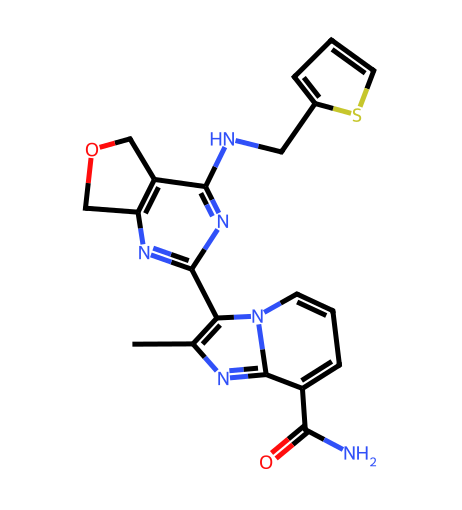 Cc1nc2c(C(N)=O)cccn2c1-c1nc2c(c(NCc3cccs3)n1)COC2